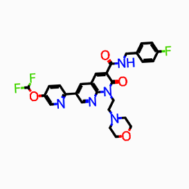 O=C(NCc1ccc(F)cc1)c1cc2cc(-c3ccc(OC(F)F)cn3)cnc2n(CCN2CCOCC2)c1=O